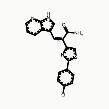 NC(=O)/C(=C\c1c[nH]c2ncccc12)c1csc(-c2ccc(Cl)cc2)n1